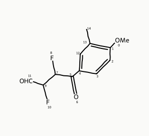 COc1ccc(C(=O)C(F)C(F)C=O)cc1C